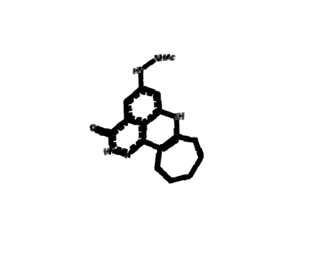 CC(=O)NNc1cc2c3c(n[nH]c(=O)c3c1)C1=C(CCCCC1)N2